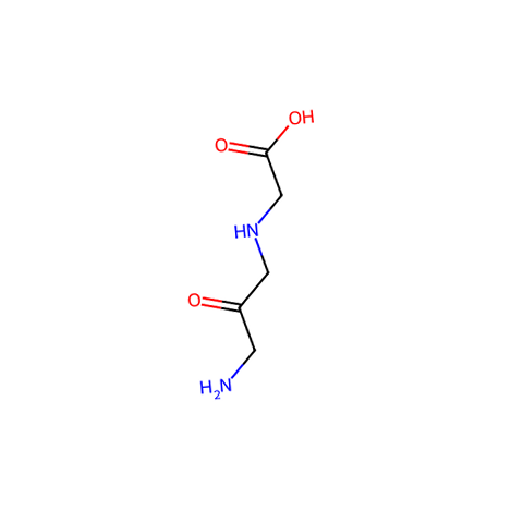 NCC(=O)CNCC(=O)O